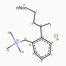 CCCCCCCCCCCC(C)c1ccccc1C[N+](C)(C)C.[Cl-]